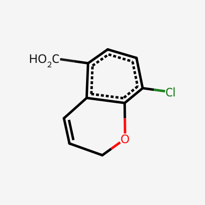 O=C(O)c1ccc(Cl)c2c1C=CCO2